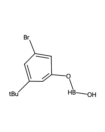 CC(C)(C)c1cc(Br)cc(OBO)c1